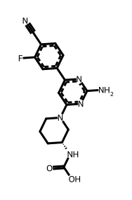 N#Cc1ccc(-c2cc(N3CCC[C@@H](NC(=O)O)C3)nc(N)n2)cc1F